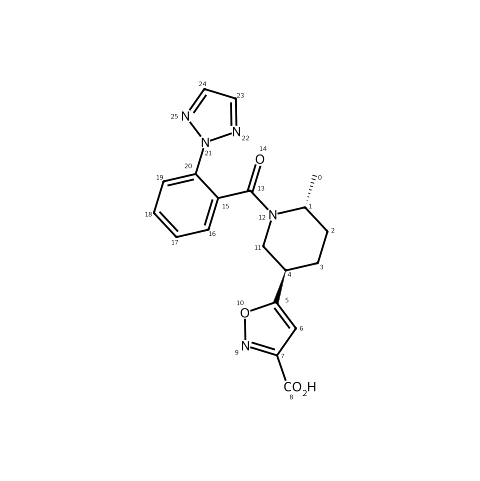 C[C@@H]1CC[C@@H](c2cc(C(=O)O)no2)CN1C(=O)c1ccccc1-n1nccn1